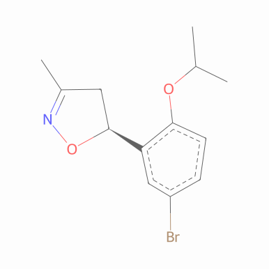 CC1=NO[C@H](c2cc(Br)ccc2OC(C)C)C1